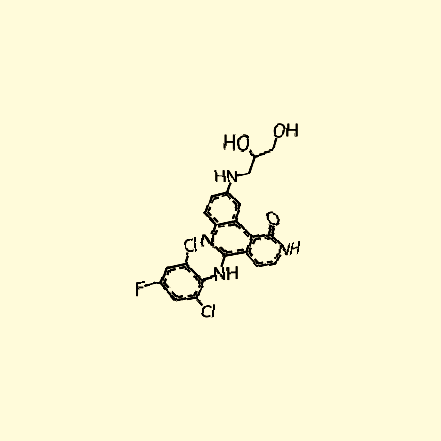 O=c1[nH]ccc2c(Nc3c(Cl)cc(F)cc3Cl)nc3ccc(NCC(O)CO)cc3c12